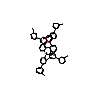 Cc1cccc(-c2ccc3c(c2)c2cc(-c4cccc(C)c4)ccc2n3-c2cccc(C#N)c2-c2c(-c3ccc(C(F)(F)F)cc3C(F)(F)F)cccc2-n2c3ccc(-c4cccc(C)c4)cc3c3cc(-c4cccc(C)c4)ccc32)c1